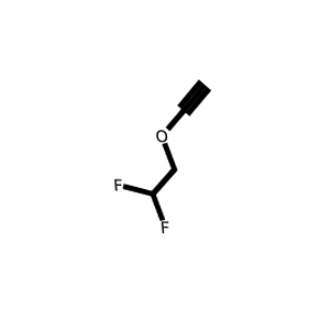 C#COCC(F)F